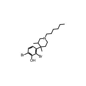 CCCCCCN1CCC(C)(c2ccc(Br)c(O)c2Br)C(C)C1